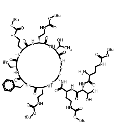 CC(C)C[C@@H]1NC(=O)[C@@H](Cc2ccccc2)NC(=O)[C@H](CCNC(=O)OC(C)(C)C)NC[C@@H](NC(=O)[C@H](CCNC(=O)OC(C)(C)C)NC(=O)[C@@H](NC(=O)[C@@H](N)CCNC(=O)OC(C)(C)C)C(C)O)CCNC(=O)[C@H](C(C)O)NC(=O)[C@H](CCNC(=O)OC(C)(C)C)NC(=O)[C@H](CCNC(=O)OC(C)(C)C)NC1=O